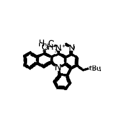 Cc1c2ccccc2cc2c1c1c3c(cc(CC(C)(C)C)c4c5ccccc5n2c43)nc[n+]1C